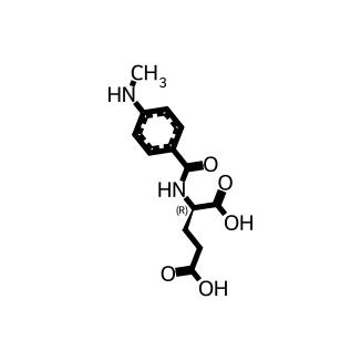 CNc1ccc(C(=O)N[C@H](CCC(=O)O)C(=O)O)cc1